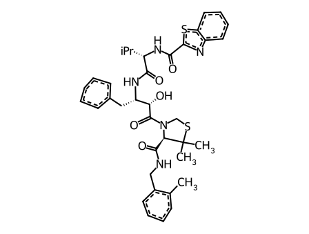 Cc1ccccc1CNC(=O)[C@H]1N(C(=O)[C@@H](O)[C@H](Cc2ccccc2)NC(=O)[C@@H](NC(=O)c2nc3ccccc3s2)C(C)C)CSC1(C)C